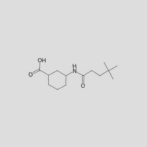 CC(C)(C)CCC(=O)NC1CCCC(C(=O)O)C1